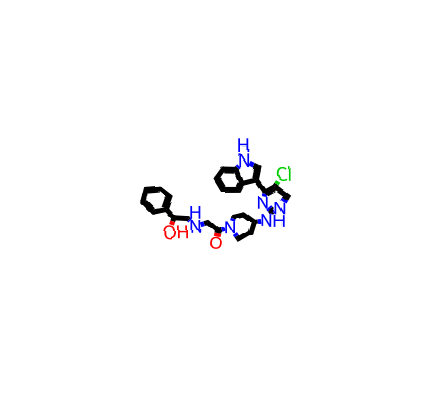 O=C(CNCC(O)c1ccccc1)N1CCC(Nc2ncc(Cl)c(-c3c[nH]c4ccccc34)n2)CC1